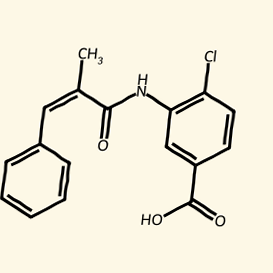 CC(=Cc1ccccc1)C(=O)Nc1cc(C(=O)O)ccc1Cl